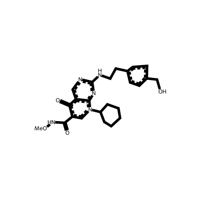 CONC(=O)c1cn(C2CCCCC2)c2nc(NCCc3ccc(CO)cc3)ncc2c1=O